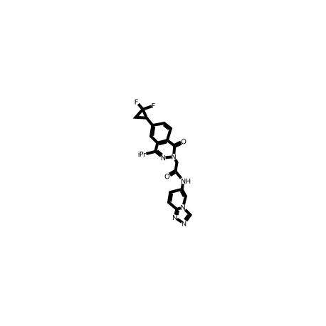 CC(C)c1nn(CC(=O)Nc2ccc3nncn3c2)c(=O)c2ccc(C3CC3(F)F)cc12